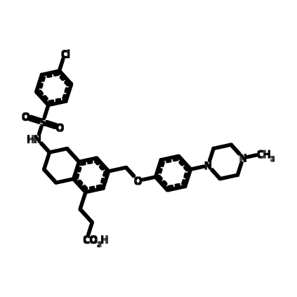 CN1CCN(c2ccc(OCc3cc(CCC(=O)O)c4c(c3)CC(NS(=O)(=O)c3ccc(Cl)cc3)CC4)cc2)CC1